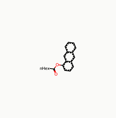 CCCCCCC(=O)Oc1cccc2cc3ccccc3cc12